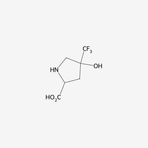 O=C(O)C1CC(O)(C(F)(F)F)CN1